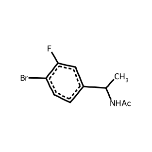 CC(=O)NC(C)c1ccc(Br)c(F)c1